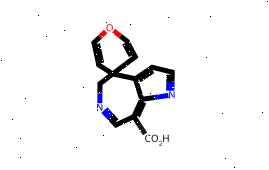 O=C(O)C1=C2N=CC=C2C2(C=COC=C2)CN=C1